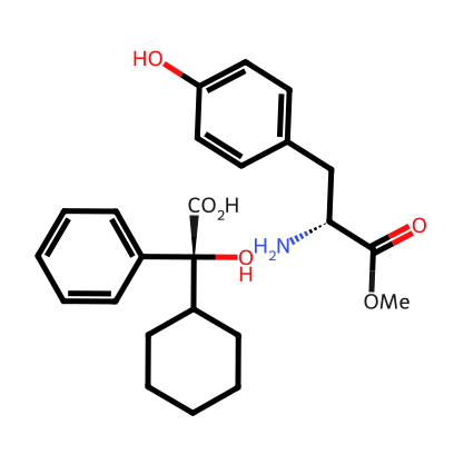 COC(=O)[C@H](N)Cc1ccc(O)cc1.O=C(O)[C@](O)(c1ccccc1)C1CCCCC1